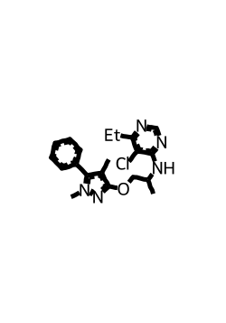 CCc1ncnc(NC(C)COc2nn(C)c(-c3ccccc3)c2C)c1Cl